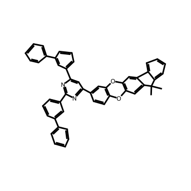 CC1(C)c2ccccc2-c2cc3c(cc21)Oc1ccc(-c2cc(-c4cccc(-c5ccccc5)c4)nc(-c4cccc(-c5ccccc5)c4)n2)cc1O3